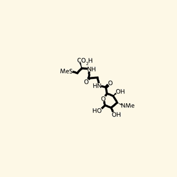 CN[C@@H]1C(O)C(O)OC(C(=O)NCC(=O)N[C@@H](CSC)C(=O)O)[C@H]1O